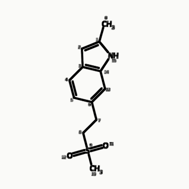 Cc1cc2ccc(CCS(C)(=O)=O)cc2[nH]1